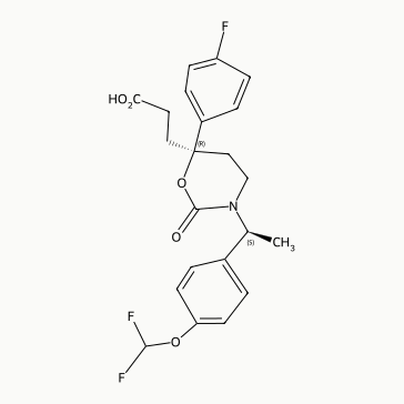 C[C@@H](c1ccc(OC(F)F)cc1)N1CC[C@](CCC(=O)O)(c2ccc(F)cc2)OC1=O